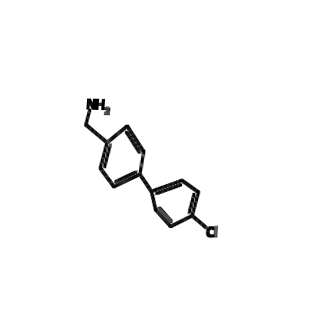 NCc1ccc(-c2ccc(Cl)cc2)cc1